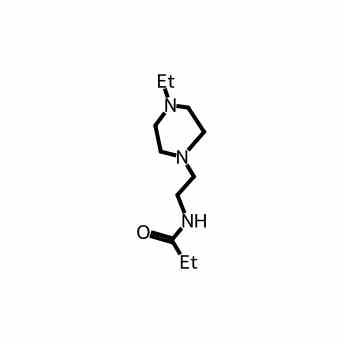 CCC(=O)NCCN1CCN(CC)CC1